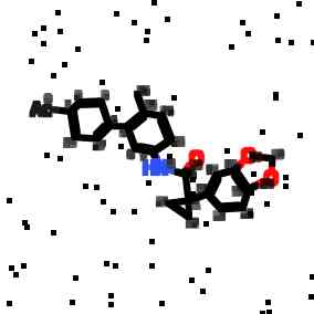 CC(=O)c1ccc(-c2cc(NC(=O)C3(c4ccc5c(c4)OCO5)CC3)ccc2C)cc1